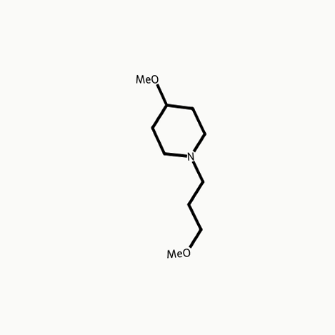 COCCCN1CCC(OC)CC1